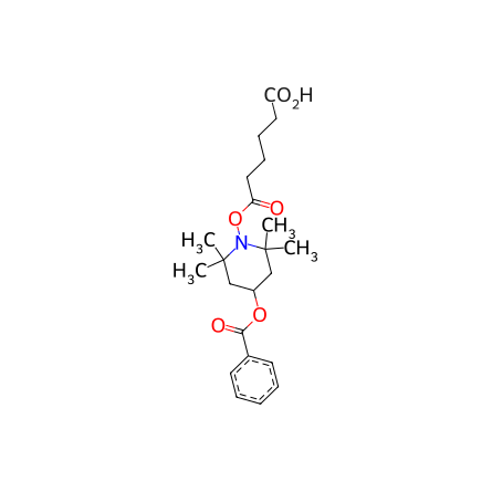 CC1(C)CC(OC(=O)c2ccccc2)CC(C)(C)N1OC(=O)CCCCC(=O)O